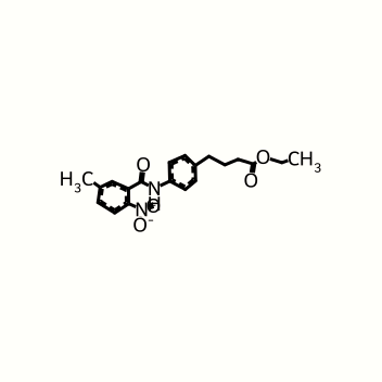 CCOC(=O)CCCc1ccc(NC(=O)c2cc(C)ccc2[N+](=O)[O-])cc1